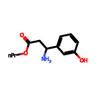 CCCOC(=O)CC(N)c1cccc(O)c1